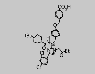 CCC(=O)Cn1cc(-c2ccc(Cl)cc2Cl)nc1[C@H](Cc1ccc(OCc2ccc(C(=O)O)cc2)cc1)NC(=O)C1CCC(C(C)(C)C)CC1